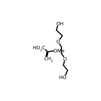 C=C(OC)C(=O)O.OCCOCCOCCO